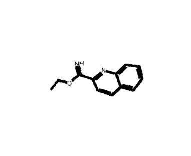 CCOC(=N)c1ccc2ccccc2n1